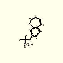 CC(C)(Cc1ccc2c(c1)SCCC=C2)C(=O)O